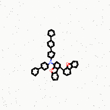 c1ccc(-c2ccc(-c3ccc(N(c4ccc(-c5ccccc5)cc4)c4ccc(-c5cccc6c5oc5ccccc56)c5c4oc4ccccc45)cc3)cc2)cc1